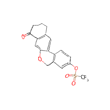 O=C1CCCc2cc3c(cc21)OCc1cc(OS(=O)(=O)C(F)(F)F)ccc1-3